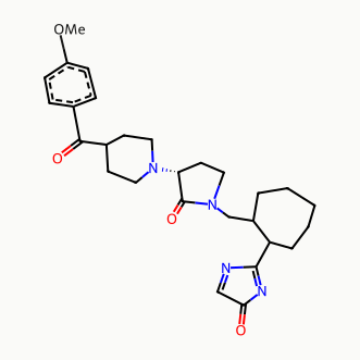 COc1ccc(C(=O)C2CCN([C@@H]3CCN(CC4CCCCCC4C4=NC(=O)C=N4)C3=O)CC2)cc1